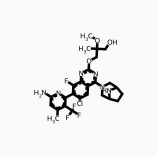 COC(C)(CO)COc1nc(N2CC3CCC(C2)N3)c2cc(Cl)c(-c3nc(N)cc(C)c3C(F)(F)F)c(F)c2n1